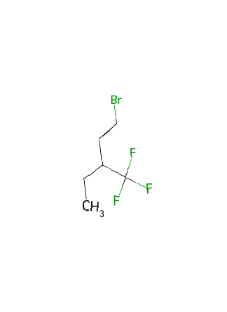 CCC(CCBr)C(F)(F)F